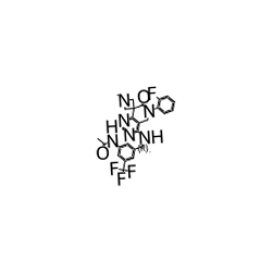 CC(=O)Nc1cc([C@@H](C)Nc2ncnc3c2CN(c2ccccc2F)C(=O)C32CN(C)C2)cc(C(F)(F)F)c1